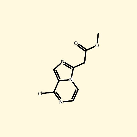 COC(=O)Cc1ncc2c(Cl)nccn12